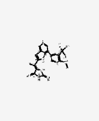 COc1ncc(-c2cncc3cc(C(C)=C4SC(=O)NC4=O)oc23)cc1C(F)(F)F